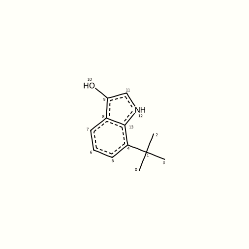 CC(C)(C)c1cccc2c(O)c[nH]c12